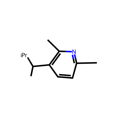 Cc1ccc(C(C)C(C)C)c(C)n1